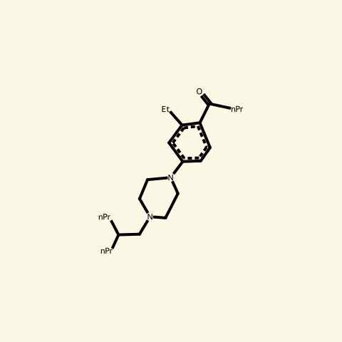 CCCC(=O)c1ccc(N2CCN(CC(CCC)CCC)CC2)cc1CC